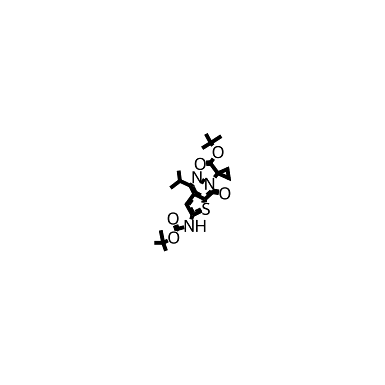 CC(C)c1nn(C2(C(=O)OC(C)(C)C)CC2)c(=O)c2sc(NC(=O)OC(C)(C)C)cc12